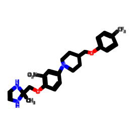 CC1(COc2ccc(N3CCC(COc4ccc(C(F)(F)F)cc4)CC3)cc2[N+](=O)[O-])NC=CN1